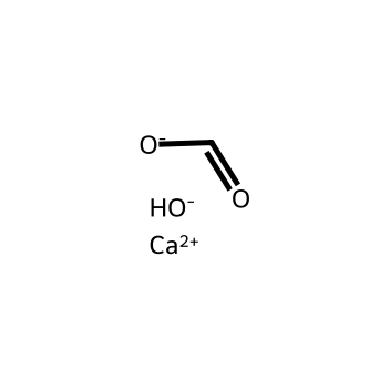 O=C[O-].[Ca+2].[OH-]